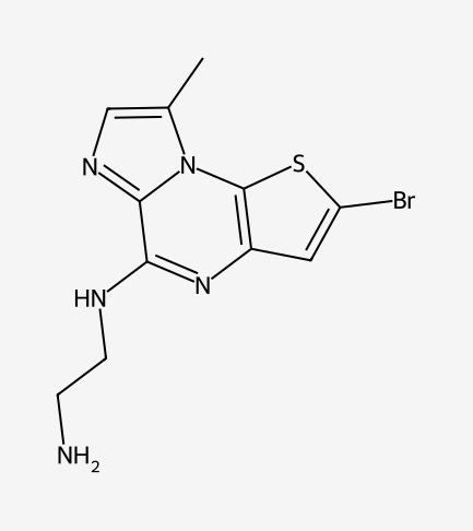 Cc1cnc2c(NCCN)nc3cc(Br)sc3n12